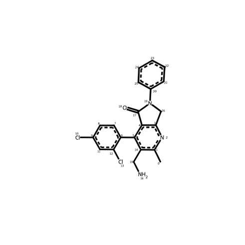 Cc1nc2c(c(-c3ccc(Cl)cc3Cl)c1CN)C(=O)N(c1ccccc1)C2